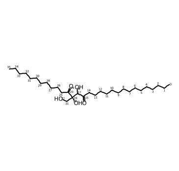 CCCCCCCCCCCCCCCC(=O)C(O)C(O)(CO)C(=O)CCCCCCCCCCC